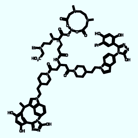 CCN(CCN(C)[C@H](CCC(=O)NC(CC(=O)N1CCC(CCn2ccc3cc(-n4c(O)nnc4-c4cc(C(C)C)c(O)cc4O)ccc32)CC1)CC(=O)N1CCC(CCn2cc3c4cc(ccc42)-n2c(O)nnc2-c2cc(c(O)cc2O)C3C)CC1)C(=O)ON1OC(=O)CN(C)CCN(C)CC(=O)O1)CC(=O)O